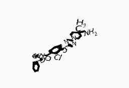 CC1(CN)CCN(c2cnc(Sc3cccc(C(=O)NS(=O)(=O)c4ccccc4)c3Cl)cn2)CC1